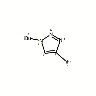 CCC(C)n1cc(C(C)C)nn1